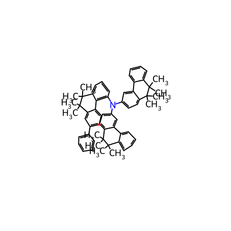 CC1(C)c2ccccc2-c2cc(N(c3ccc4c(c3)-c3ccccc3C(C)(C)C4(C)C)c3cccc4c3-c3ccc(-c5ccccc5)cc3C(C)(C)C4(C)C)ccc2C1(C)C